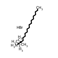 Br.CCCCCCCCCCCCCCCCC(C)(C)C(C)(C)N